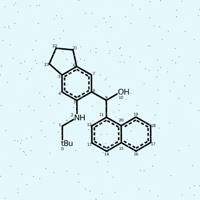 CC(C)(C)CNc1cc2c(cc1C(O)c1cccc3ccccc13)CCC2